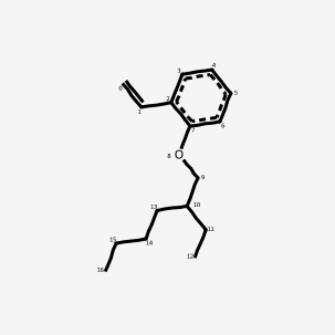 C=Cc1ccccc1OCC(CC)CCCC